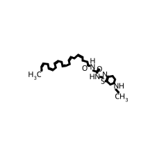 CC/C=C\C/C=C\C/C=C\C/C=C\C/C=C\C/C=C\CCC(=O)NCC(=O)Nc1nc2c(s1)C[C@H](NCCC)CC2